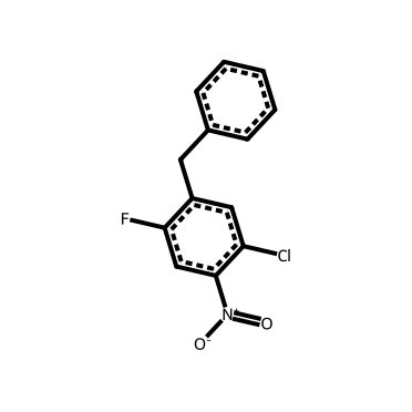 O=[N+]([O-])c1cc(F)c(Cc2ccccc2)cc1Cl